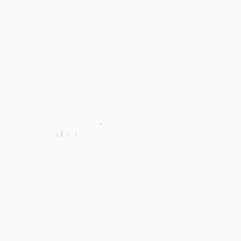 CCCCCC[N]C(=O)c1ccccc1